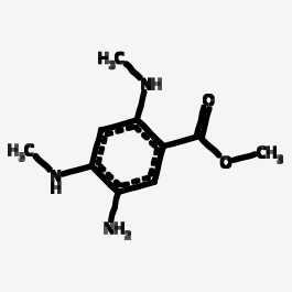 CNc1cc(NC)c(C(=O)OC)cc1N